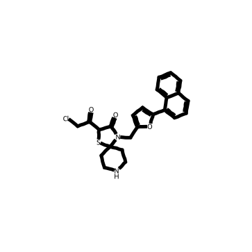 O=C(CCl)C1SC2(CCNCC2)N(Cc2ccc(-c3cccc4ccccc34)o2)C1=O